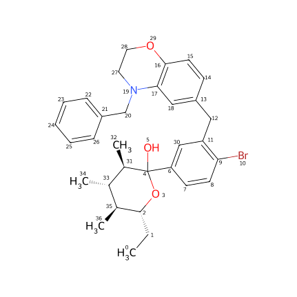 CC[C@H]1OC(O)(c2ccc(Br)c(Cc3ccc4c(c3)N(Cc3ccccc3)CCO4)c2)[C@H](C)[C@@H](C)[C@@H]1C